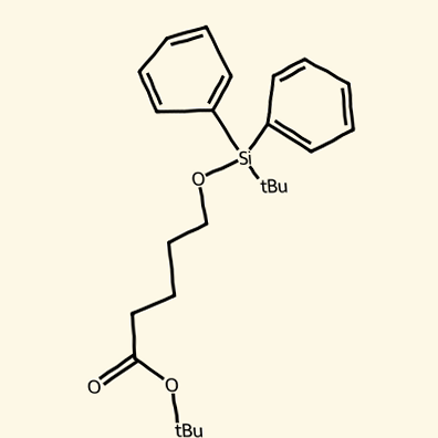 CC(C)(C)OC(=O)CCCCO[Si](c1ccccc1)(c1ccccc1)C(C)(C)C